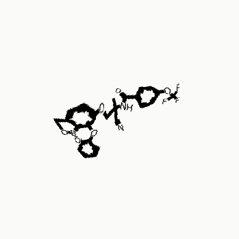 CC(C#N)(COc1ccc2c(c1Oc1ccccc1)B(O)OC2)NC(=O)c1ccc(OC(F)(F)F)cc1